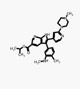 CNc1cc(-c2c(-c3ccnc(N4CCN(C)CC4)c3)[nH]c3ncc(C(=O)OC(C)C)cc23)ccc1C